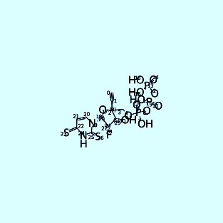 C#C[C@]1(COP(=O)(O)OP(=O)(O)OP(=O)(O)O)O[C@@H](n2ccc(=S)[nH]c2=S)[C@@H](F)[C@H]1O